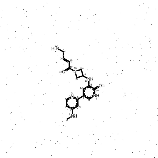 CNc1ccnc(-c2c[nH]c(=O)c(NC3CN(C(=O)C=CCN)C3)c2)c1